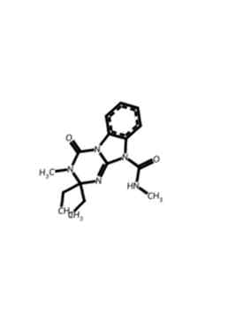 CCC1(CC)N=C2N(C(=O)NC)c3ccccc3N2C(=O)N1C